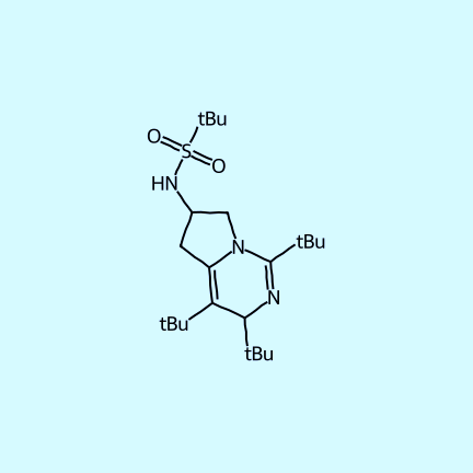 CC(C)(C)C1=NC(C(C)(C)C)C(C(C)(C)C)=C2CC(NS(=O)(=O)C(C)(C)C)CN12